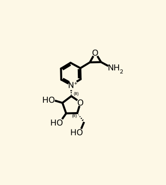 NC1OC1c1ccc[n+]([C@@H]2O[C@H](CO)C(O)C2O)c1